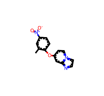 Cc1cc([N+](=O)[O-])ccc1Oc1ccn2ccnc2c1